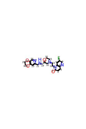 O=c1ccc2ncc(F)cc2n1CCN1CCO[C@@H](CNCc2cc3c(cn2)OCCO3)C1